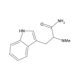 CNC(Cc1c[nH]c2ccccc12)C(N)=O